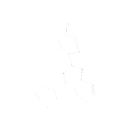 [CH2]c1ccc(N(C(=O)Cc2ccccc2)C(=O)c2ccccc2)cc1